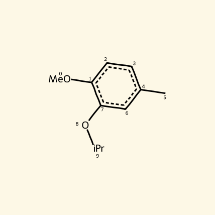 COc1ccc(C)cc1OC(C)C